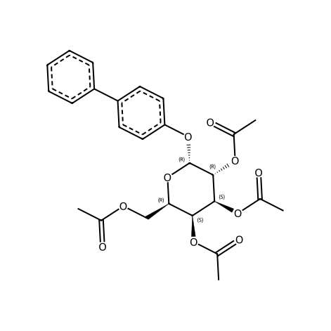 CC(=O)OC[C@H]1O[C@H](Oc2ccc(-c3ccccc3)cc2)[C@H](OC(C)=O)[C@@H](OC(C)=O)[C@H]1OC(C)=O